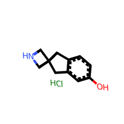 Cl.Oc1ccc2c(c1)CC1(CNC1)C2